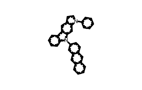 c1ccc(-n2ccc3cc4c5ccccc5n(-c5ccc6cc7ccccc7cc6c5)c4cc32)cc1